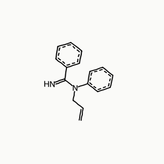 C=CCN(C(=N)c1ccccc1)c1ccccc1